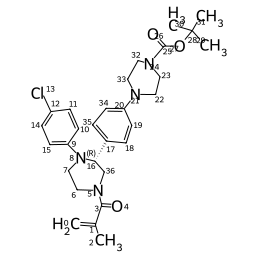 C=C(C)C(=O)N1CCN(c2ccc(Cl)cc2)[C@H](c2ccc(N3CCN(C(=O)OC(C)(C)C)CC3)cc2)C1